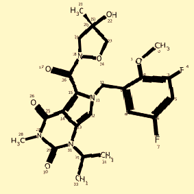 COc1c(F)cc(F)cc1Cn1cc2c(c1C(=O)N1C[C@](C)(O)CO1)c(=O)n(C)c(=O)n2C(C)C